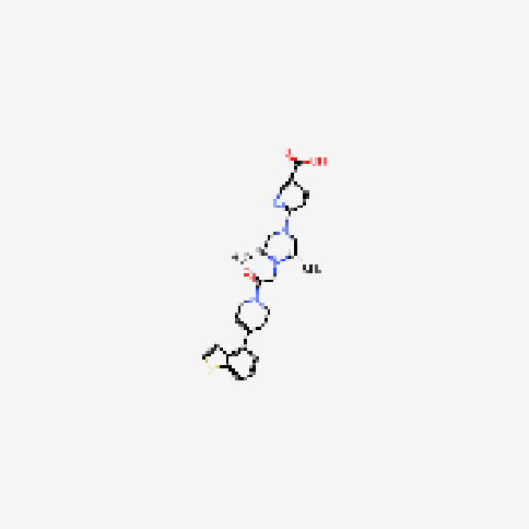 C[C@@H]1CN(c2ccc(C(=O)O)cn2)C[C@H](C)N1CC(=O)N1CC=C(c2cccc3sccc23)CC1